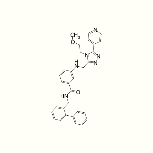 COCCn1c(CNc2cccc(C(=O)NCc3ccccc3-c3ccccc3)c2)nnc1-c1ccncc1